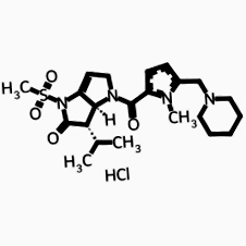 CC(C)[C@@H]1C(=O)N(S(C)(=O)=O)C2=CCN(C(=O)c3ccc(CN4CCCCC4)n3C)[C@H]21.Cl